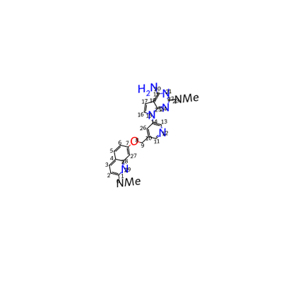 CNc1ccc2ccc(OCc3cncc(-n4ccc5c(N)nc(NC)nc54)c3)cc2n1